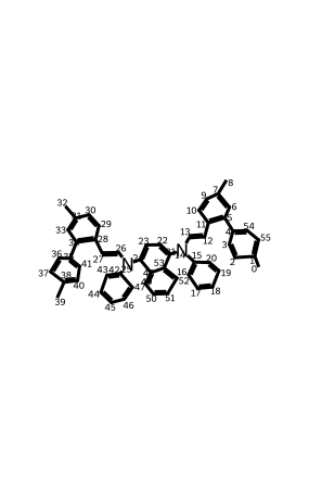 Cc1ccc(-c2cc(C)ccc2/C=C/N(c2ccccc2)c2ccc(N(/C=C/c3ccc(C)cc3-c3ccc(C)cc3)c3ccccc3)c3ccccc23)cc1